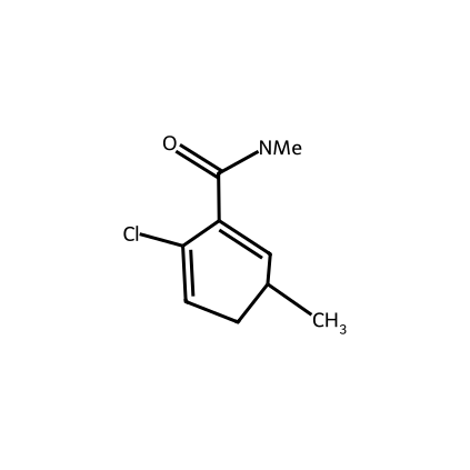 CNC(=O)C1=CC(C)CC=C1Cl